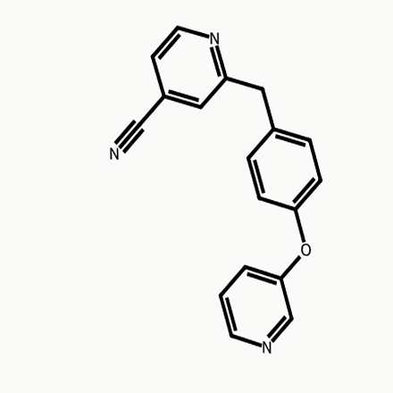 N#Cc1ccnc(Cc2ccc(Oc3cccnc3)cc2)c1